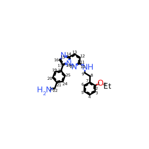 CCOc1ccccc1CCNc1ccc2ncc(-c3ccc(CN)cc3)n2n1